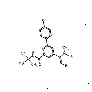 CC/C=C(/c1cc(C(=O)NC(C)(C)C#N)cc(-c2ccc(Cl)cc2)n1)N(C)C(C)C